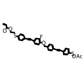 C=CC(=O)OCCSc1ccc(C#Cc2ccc(OCc3ccc(C#Cc4ccc(SOC(C)=O)cc4)cc3)c(F)c2)cc1